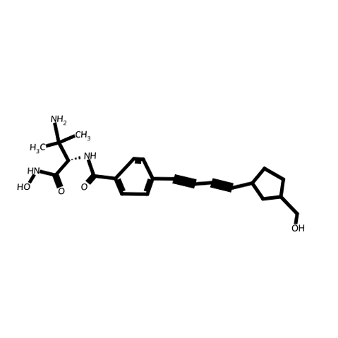 CC(C)(N)[C@H](NC(=O)c1ccc(C#CC#CC2CCC(CO)C2)cc1)C(=O)NO